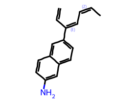 C=C/C(=C\C=C/C)c1ccc2cc(N)ccc2c1